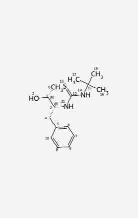 C[C@@H](O)[C@@H](Cc1ccccc1)NC(=S)NC(C)(C)C